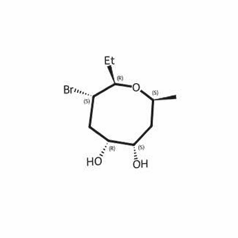 CC[C@H]1O[C@@H](C)C[C@H](O)[C@H](O)C[C@@H]1Br